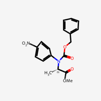 COC(=O)[C@H](C)N(C(=O)OCc1ccccc1)c1ccc([N+](=O)[O-])cc1